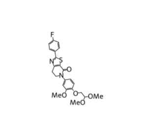 COc1cc(N2CCc3nc(-c4ccc(F)cc4)sc3C2=O)ccc1OCC(OC)OC